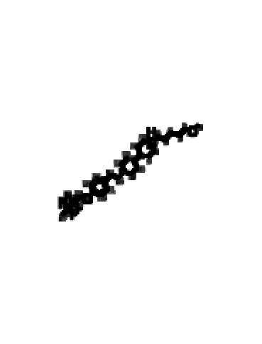 COCCCCC[Si@H]1CC[C@H]([C@H]2CC[C@H](CCc3ccc(OCC(F)(F)C(C)(F)F)cc3)CC2)CC1